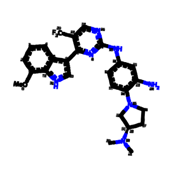 COc1cccc2c(-c3nc(Nc4ccc(N5CC[C@@H](N(C)C)C5)c(N)c4)ncc3C(F)(F)F)c[nH]c12